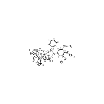 COc1cc(C2CC3(ON2c2ccccc2)C(=O)O[C@@H]2[C@H]3CC[C@H](C)[C@]3(O)C=CC(=O)[C@@]23C)cc(OC)c1OC